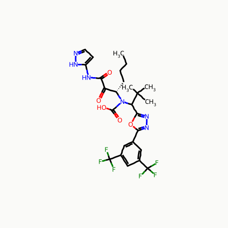 CCCC[C@@H](C(=O)C(=O)Nc1ccn[nH]1)N(C(=O)O)C(c1nnc(-c2cc(C(F)(F)F)cc(C(F)(F)F)c2)o1)C(C)(C)C